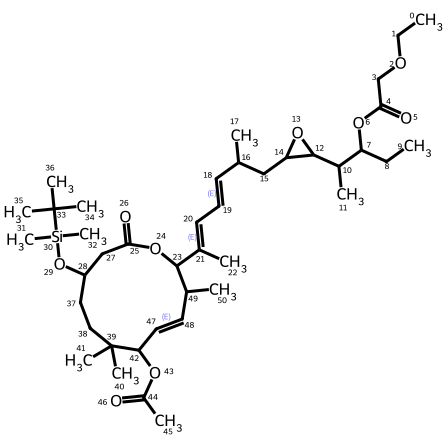 CCOCC(=O)OC(CC)C(C)C1OC1CC(C)/C=C/C=C(\C)C1OC(=O)CC(O[Si](C)(C)C(C)(C)C)CCC(C)(C)C(OC(C)=O)/C=C/C1C